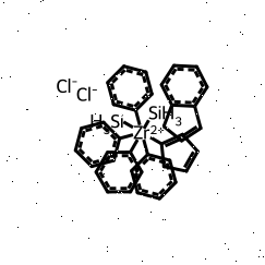 [Cl-].[Cl-].[SiH3][Zr+2]([SiH3])([C]1=CC=CC1)([c]1ccccc1)([c]1ccccc1)([c]1ccccc1)([c]1ccccc1)[CH]1C=Cc2ccccc21